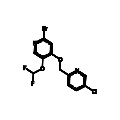 FC(F)Oc1cnc(Br)cc1OCc1ccc(Cl)cn1